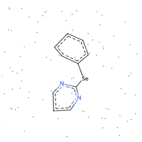 c1ccc([Se]c2ncccn2)cc1